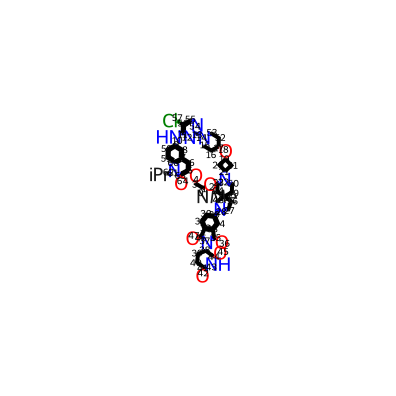 CNC(=O)COc1cc2cc(Nc3nc(N4CCC(OC5CC(N6CCC7(CCN(c8ccc9c(c8)C(=O)N(C8CCC(=O)NC8=O)C9=O)C7)CC6)C5)CC4)ncc3Cl)ccc2n(C(C)C)c1=O